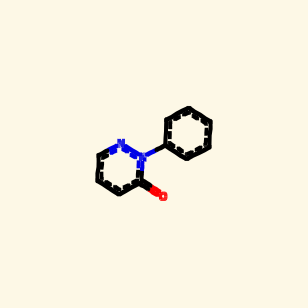 O=c1cccnn1-c1ccccc1